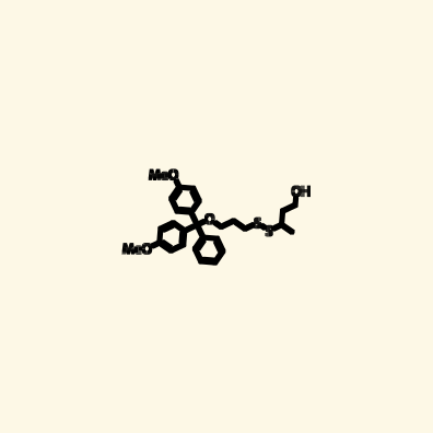 COc1ccc(C(OCCCSSC(C)CCO)(c2ccccc2)c2ccc(OC)cc2)cc1